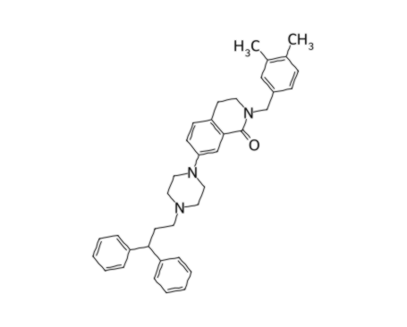 Cc1ccc(CN2CCc3ccc(N4CCN(CCC(c5ccccc5)c5ccccc5)CC4)cc3C2=O)cc1C